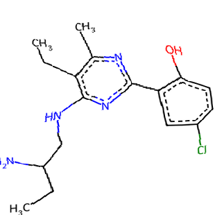 CCc1c(C)nc(-c2cc(Cl)ccc2O)nc1NCC(N)CC